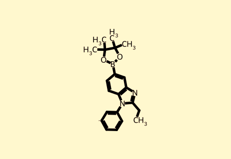 CCc1nc2cc(B3OC(C)(C)C(C)(C)O3)ccc2n1-c1c[c]ccc1